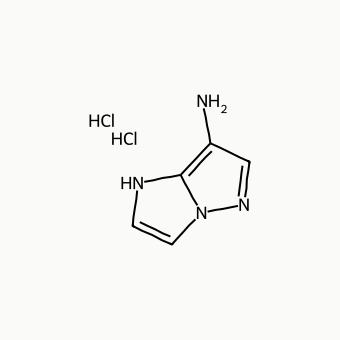 Cl.Cl.Nc1cnn2cc[nH]c12